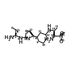 CN=C(N)Nc1nc(C2CCCC(NC(C)=C(N)[N+](=O)[O-])C2)cs1